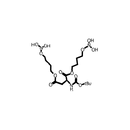 CC(C)(C)OC(=O)NC(CC(=O)OCCCCON(O)O)C(=O)OCCCCON(O)O